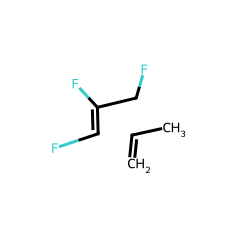 C=CC.FC=C(F)CF